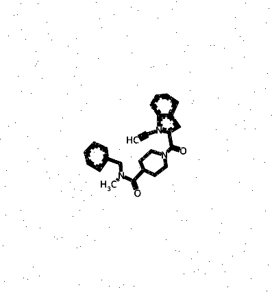 C#Cn1c(C(=O)N2CCC(C(=O)N(C)Cc3ccccc3)CC2)cc2ccccc21